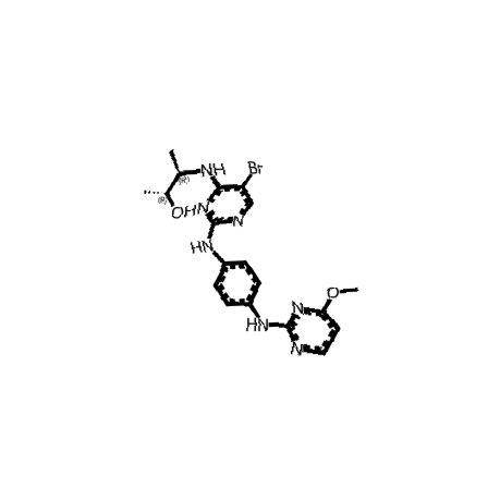 COc1ccnc(Nc2ccc(Nc3ncc(Br)c(N[C@H](C)[C@@H](C)O)n3)cc2)n1